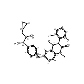 CN1C(=O)C(c2c(F)cccc2F)N(C)c2nc(Nc3ccc([S+]([O-])N(O)CC4CC4)cc3)ncc21